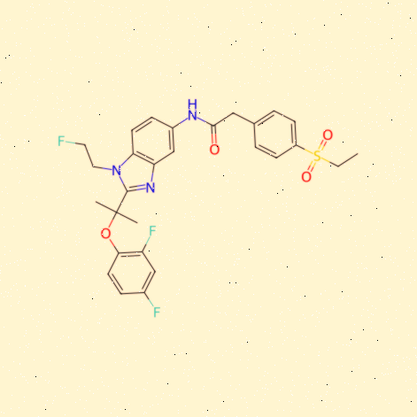 CCS(=O)(=O)c1ccc(CC(=O)Nc2ccc3c(c2)nc(C(C)(C)Oc2ccc(F)cc2F)n3CCF)cc1